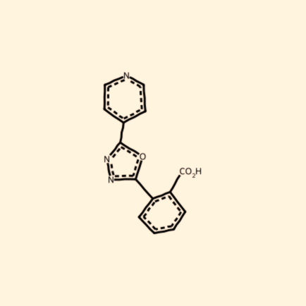 O=C(O)c1ccccc1-c1nnc(-c2ccncc2)o1